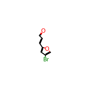 O=CC=Cc1cc(Br)co1